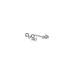 Cl.c1ccc(Oc2ccc(CCCCCOC34CCN(CC3)C4)cc2)cc1